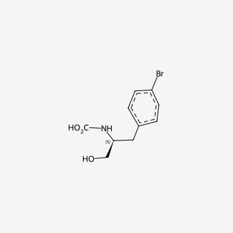 O=C(O)N[C@H](CO)Cc1ccc(Br)cc1